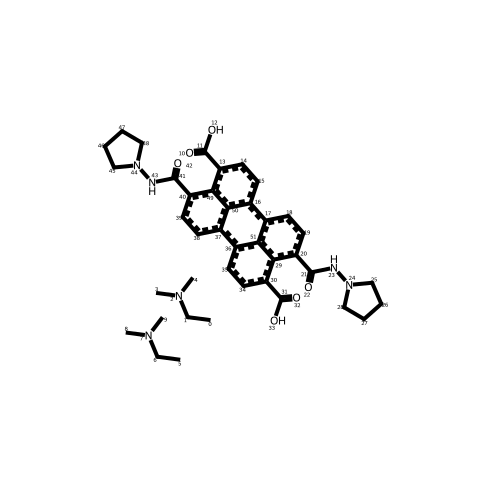 CCN(C)C.CCN(C)C.O=C(O)c1ccc2c3ccc(C(=O)NN4CCCC4)c4c(C(=O)O)ccc(c5ccc(C(=O)NN6CCCC6)c1c25)c43